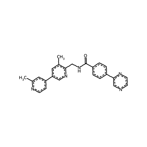 Cc1cc(-c2cnc(CNC(=O)c3ccc(-c4cnccn4)cc3)c(C)c2)ccn1